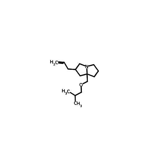 C=CCC1CN2CCCC2(COCC(C)C)C1